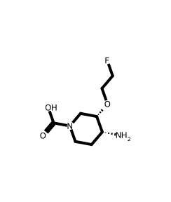 N[C@@H]1CCN(C(=O)O)C[C@@H]1OCCF